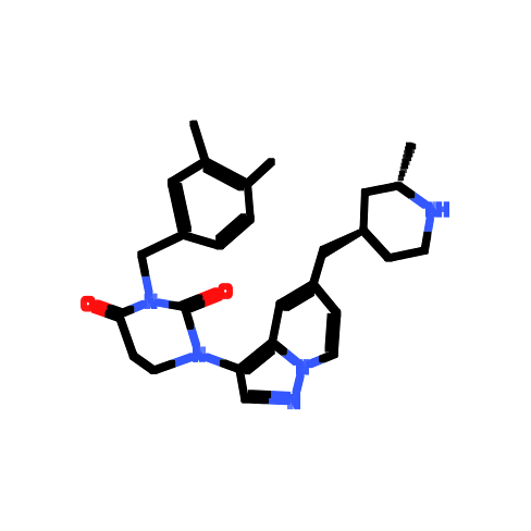 Cc1ccc(CN2C(=O)CCN(c3cnn4ccc(C[C@@H]5CCN[C@@H](C)C5)cc34)C2=O)cc1C